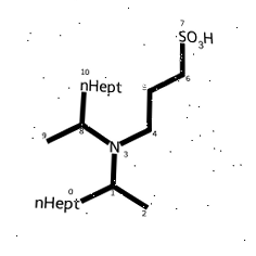 CCCCCCCC(C)N(CCCS(=O)(=O)O)C(C)CCCCCCC